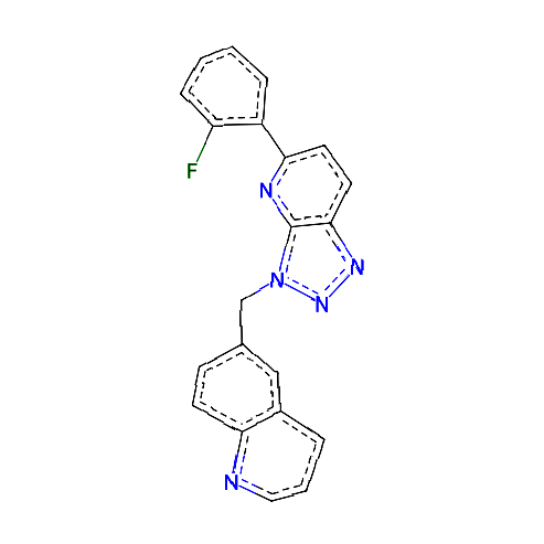 Fc1ccccc1-c1ccc2nnn(Cc3ccc4ncccc4c3)c2n1